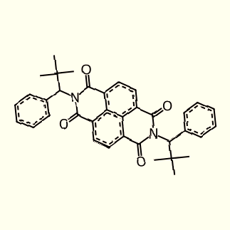 CC(C)(C)C(c1ccccc1)N1C(=O)c2ccc3c4c(ccc(c24)C1=O)C(=O)N(C(c1ccccc1)C(C)(C)C)C3=O